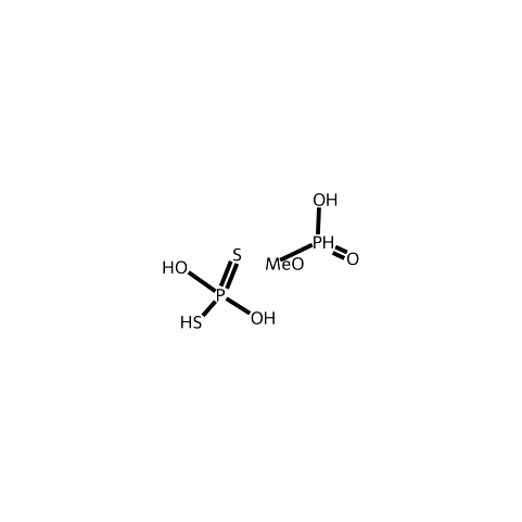 CO[PH](=O)O.OP(O)(=S)S